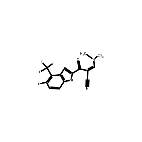 CN(C)/C=C(/C#N)C(=O)c1cc2c(C(F)(F)F)c(F)ccc2[nH]1